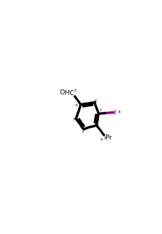 CC(C)c1ccc(C=O)cc1I